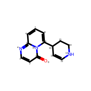 O=c1ccnc2cccc(C3C=CNCC3)n12